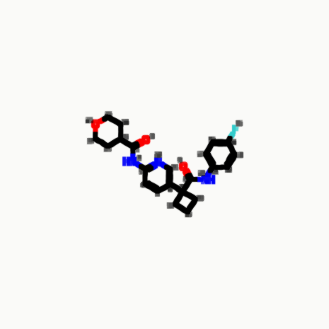 O=C(Nc1ccc(C2(C(=O)Nc3ccc(F)cc3)CCC2)cn1)C1CCOCC1